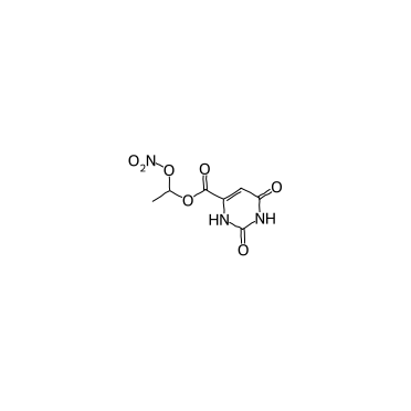 CC(OC(=O)c1cc(=O)[nH]c(=O)[nH]1)O[N+](=O)[O-]